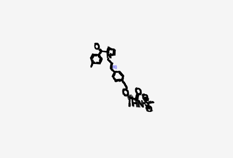 Cc1ccc(C(=O)c2cccn2C/C=C/C2=CCC(CO[C@H](C)C(=O)NS(C)(=O)=O)C=C2)cc1